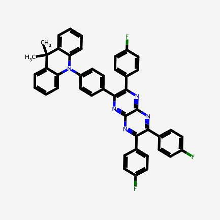 CC1(C)c2ccccc2N(c2ccc(-c3nc4nc(-c5ccc(F)cc5)c(-c5ccc(F)cc5)nc4nc3-c3ccc(F)cc3)cc2)c2ccccc21